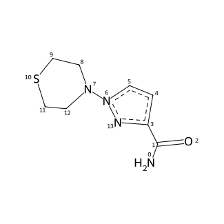 NC(=O)c1ccn(N2CCSCC2)n1